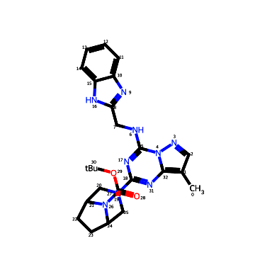 Cc1cnn2c(NCc3nc4ccccc4[nH]3)nc(N3CC4CCC(C3)N4C(=O)OC(C)(C)C)nc12